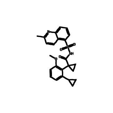 COc1cccc(C2CC2)c1C1(C(=O)NS(=O)(=O)c2cccc3nc(C)ccc23)CC1